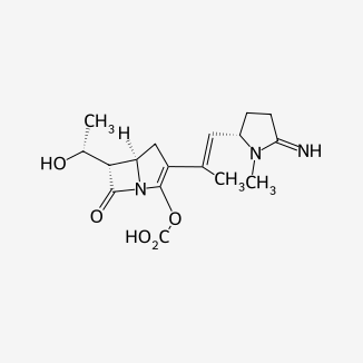 CC(=C[C@@H]1CCC(=N)N1C)C1=C(OC(=O)O)N2C(=O)[C@H]([C@@H](C)O)[C@H]2C1